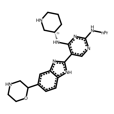 CCCNc1ncc(-c2nc3cc(C4CNCCO4)ccc3[nH]2)c(N[C@H]2CCCNC2)n1